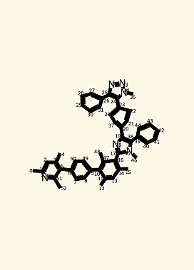 Cc1cc(C)c(-c2ccc(-c3c(C)cc(C)c(-c4nc(-c5ccc(-c6c(-c7ccccc7)nnn6C)cc5)c(-c5ccccc5)n4C)c3C)cc2)c(C)n1